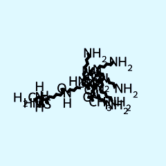 C=C1N[C@H]2CSC(CCCCC(=O)NCCCC[C@H](NC(=O)CN(CCCCN)C(=O)CN(CCCCN)C(=O)CN(CCCCN)C(=O)CN(CCCCN)C(=O)CN(CCCCN)C(C)=O)C(N)=O)[C@H]2N1